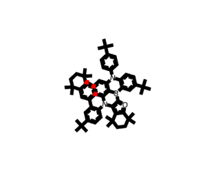 Cc1cc2c3c(c1)N(c1ccc(C(C)(C)C)cc1-c1ccc4c(c1)C(C)(C)CCC4(C)C)c1c(oc4c1C(C)(C)CCC4(C)C)B3c1cc(C(C)(C)C)ccc1N2c1ccc(C(C)(C)C)cc1